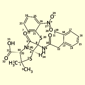 CC1(C)S[C@H]2N(C(=O)C2(NC(=O)Cc2ccccc2I)Sc2ccccc2[N+](=O)[O-])[C@H]1C(=O)O